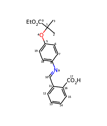 CCOC(=O)C(C)(C)Oc1ccc(N=Cc2ccccc2C(=O)O)cc1